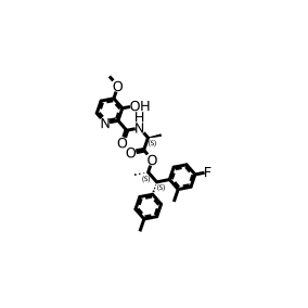 COc1ccnc(C(=O)N[C@@H](C)C(=O)O[C@@H](C)[C@@H](c2ccc(C)cc2)c2ccc(F)cc2C)c1O